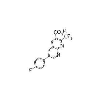 O=C(O)c1cc2cc(-c3ccc(F)cc3)cnc2nc1C(F)(F)F